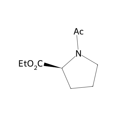 CCOC(=O)[C@@H]1CCCN1C(C)=O